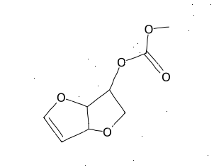 COC(=O)OC1COC2C=COC21